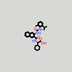 Cc1cccc(C(C)C)c1NC(=O)Nc1cc2ccccc2cc1C(=O)N[C@@H](C(=O)O)C1CCCCC1